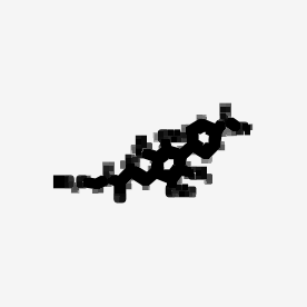 CC/C(=C\c1c(C)c(OC)c(-c2ccc(NC(C)C)cc2)c(C)c1OC)C(=O)NCC(=O)O